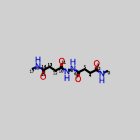 CNC(=O)CCC(=O)NNC(=O)CCC(=O)NC